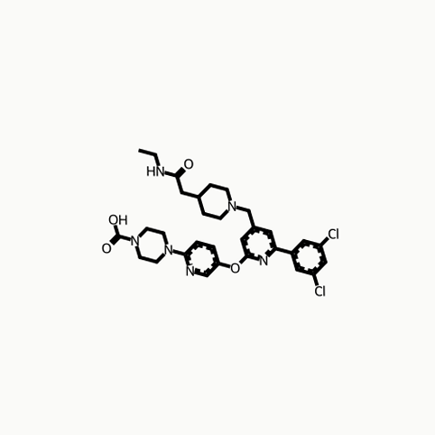 CCNC(=O)CC1CCN(Cc2cc(Oc3ccc(N4CCN(C(=O)O)CC4)nc3)nc(-c3cc(Cl)cc(Cl)c3)c2)CC1